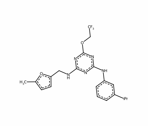 Cc1ccc(CNc2nc(Nc3cccc(C(C)C)c3)nc(OCC(F)(F)F)n2)o1